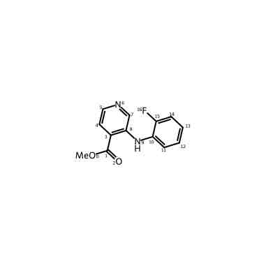 COC(=O)c1ccncc1Nc1ccccc1F